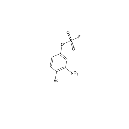 CC(=O)c1ccc(OS(=O)(=O)F)cc1[N+](=O)[O-]